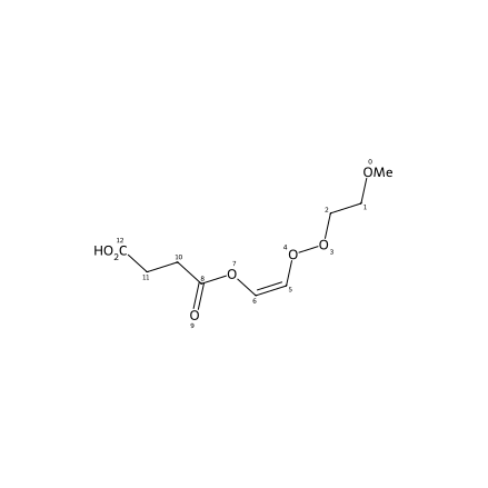 COCCOO/C=C\OC(=O)CCC(=O)O